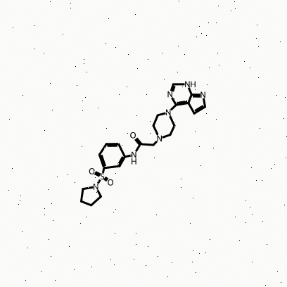 O=C(CN1CCN(c2nc[nH]c3nccc2-3)CC1)Nc1cccc(S(=O)(=O)N2CCCC2)c1